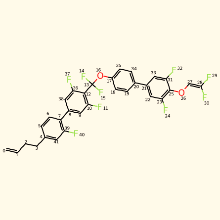 C=CCCc1ccc(-c2cc(F)c(C(F)(F)Oc3ccc(-c4cc(F)c(OC=C(F)F)c(F)c4)cc3)c(F)c2)c(F)c1